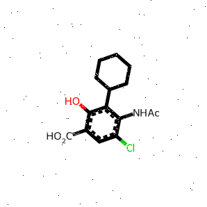 CC(=O)Nc1c(Cl)cc(C(=O)O)c(O)c1C1CCCCC1